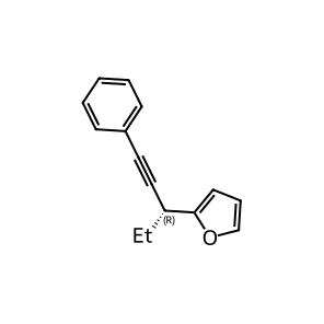 CC[C@H](C#Cc1ccccc1)c1ccco1